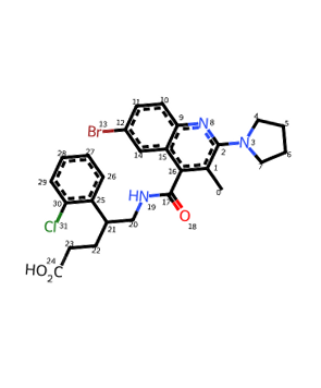 Cc1c(N2CCCC2)nc2ccc(Br)cc2c1C(=O)NCC(CCC(=O)O)c1ccccc1Cl